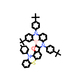 CC1C=CC(N2c3ccccc3Sc3ccc4c5c(oc4c32)B2c3cc(C(C)(C)C)ccc3N(c3ccc(C(C)(C)C)cc3)c3cccc(c32)N5c2ccc(C(C)(C)C)cc2)=CC1